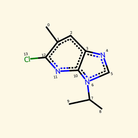 Cc1cc2ncn(C(C)C)c2nc1Cl